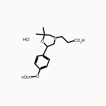 CCCCCCCCOc1ccc(C2CN(CCC(=O)O)CC(C)(C)O2)cc1.Cl